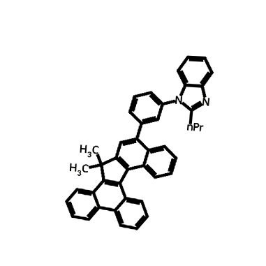 CCCc1nc2ccccc2n1-c1cccc(-c2cc3c(c4ccccc24)-c2c(c4ccccc4c4ccccc24)C3(C)C)c1